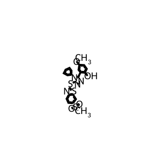 COc1ccc(O)c(-c2nnc(Sc3nc4ccc(S(C)(=O)=O)cc4s3)n2-c2ccccc2)c1